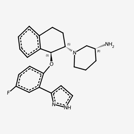 N[C@@H]1CCCN([C@H]2CCc3ccccc3[C@@H]2Oc2ccc(F)cc2-c2cc[nH]n2)C1